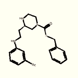 CC(=O)c1cccc(NCC[C@@H]2CN(C(=O)OCc3ccccc3)CCN2)c1